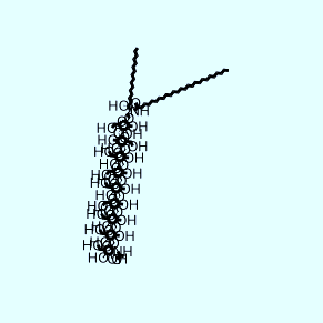 CCCCCCCCCCCCC/C=C/[C@@H](O)[C@H](CO[C@@H]1OC(CO)[C@@H](O[C@@H]2OC(CO)[C@H](O[C@@H]3OC(CO)[C@H](O)[C@H](O[C@H]4OC(CO)[C@H](O)[C@H](O[C@H]5OC(CO)[C@H](O)[C@H](O[C@H]6OC(CO)[C@H](O)[C@H](O[C@H]7OC(CO)[C@H](O)[C@H](O[C@H]8OC(CO)[C@H](O)[C@H](O[C@@H]9OC(CO)[C@H](O)[C@H](O)C9NC(C)=O)C8O)C7O)C6O)C5O)C4O)C3O)[C@H](O)C2O)[C@H](O)C1O)NC(=O)CCCCCCCCCCCCCCCCCCCCCCCCC